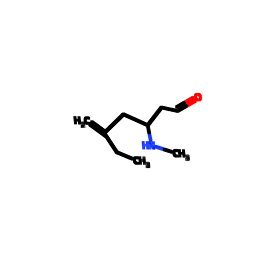 C=C(CC)CC(CC=O)NC